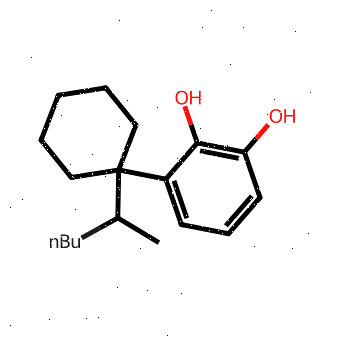 CCCCC(C)C1(c2cccc(O)c2O)CCCCC1